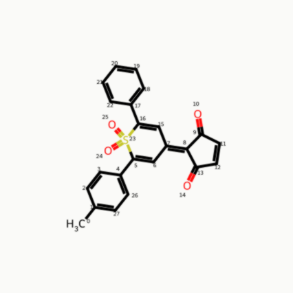 Cc1ccc(C2=CC(=C3C(=O)C=CC3=O)C=C(c3ccccc3)S2(=O)=O)cc1